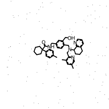 Cc1ccc(C2(C(=O)NCc3ccc(CN(Cc4ncc(C)cc4C)C4CCCc5cccnc54)c(CO)c3)CCCCC2)cc1